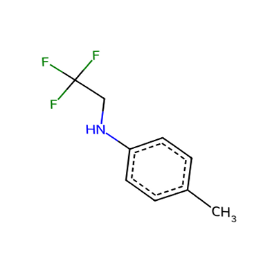 Cc1ccc(NCC(F)(F)F)cc1